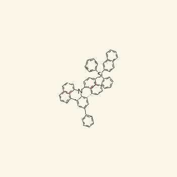 c1ccc(-c2cc(-c3ccccc3)c(N(c3ccccc3)c3ccc([Si](c4ccccc4)(c4ccccc4)c4ccc5ccccc5c4)cc3)c(-c3ccccc3)c2)cc1